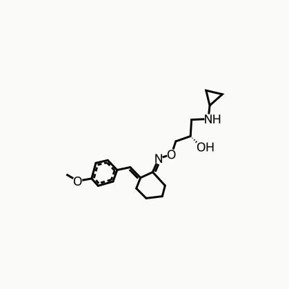 COc1ccc(/C=C2\CCCC\C2=N/OC[C@@H](O)CNC2CC2)cc1